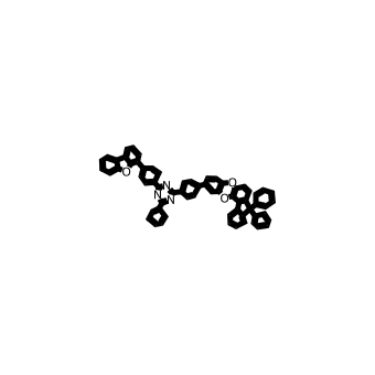 c1ccc(-c2nc(-c3ccc(-c4ccc5c(c4)Oc4c(ccc6c4-c4ccccc4C6(c4ccccc4)c4ccccc4)O5)cc3)nc(-c3ccc(-c4cccc5c4oc4ccccc45)cc3)n2)cc1